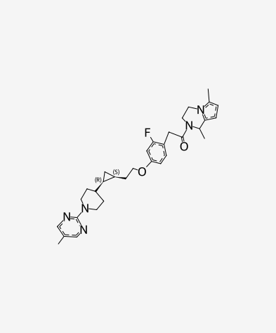 Cc1cnc(N2CCC([C@H]3C[C@H]3CCOc3ccc(CC(=O)N4CCn5c(C)ccc5C4C)c(F)c3)CC2)nc1